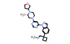 CN=CC1(c2ccc3cnn(-c4cc(N5CCN(C6CCOC6)[C@@H](C)C5)ncn4)c3c2)CCC1